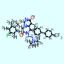 [2H]c1c([2H])c(C([2H])([2H])Sc2nc(=O)c3c(n2CC(=O)N(CCN(C([2H])([2H])C)C([2H])([2H])C)Cc2ccc(-c4ccc(C(F)(F)F)cc4)cc2)CCC3)c([2H])c([2H])c1F